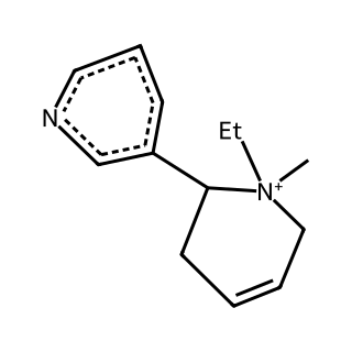 CC[N+]1(C)CC=CCC1c1cccnc1